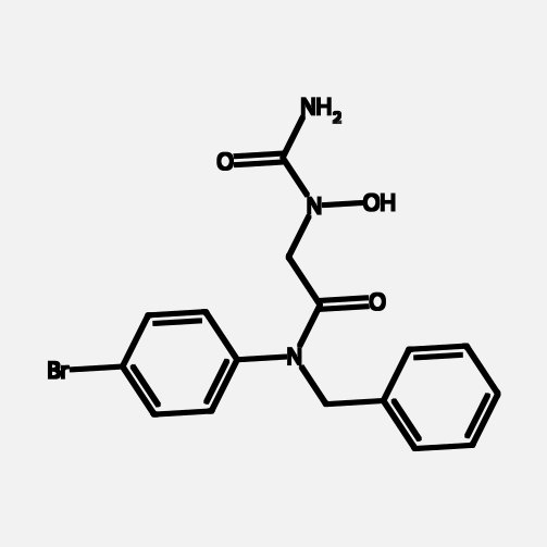 NC(=O)N(O)CC(=O)N(Cc1ccccc1)c1ccc(Br)cc1